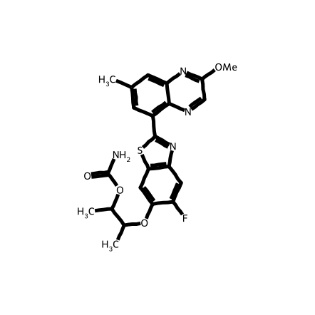 COc1cnc2c(-c3nc4cc(F)c(OC(C)C(C)OC(N)=O)cc4s3)cc(C)cc2n1